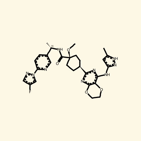 CO[C@]1(C(=O)N[C@@H](C)c2ccc(-n3cc(F)cn3)nc2)CC[C@H](c2nc(Nc3cc(C)[nH]n3)c3c(n2)OCCO3)CC1